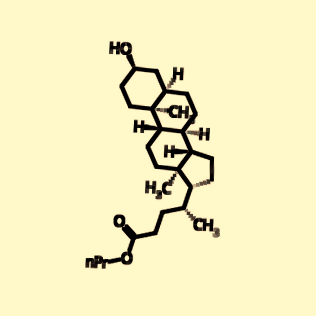 CCCOC(=O)CC[C@@H](C)[C@H]1CC[C@H]2[C@@H]3CC[C@@H]4C[C@H](O)CC[C@]4(C)[C@H]3CC[C@]12C